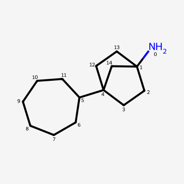 NC12CCC(C3CCCCCC3)(CC1)C2